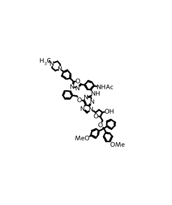 COc1ccc(C(OCC2OC(n3cnc4c(OCc5ccccc5)nc(Nc5cc(-c6nnc(-c7ccc(N8CCN(C)CC8)cc7)o6)ccc5NC(C)=O)nc43)CC2O)(c2ccccc2)c2ccc(OC)cc2)cc1